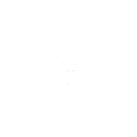 O=C(Nc1ccc2oncc(=O)c2c1)C(O)(CC1(c2cccc(F)c2F)CC1)C(F)(F)F